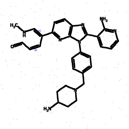 CN/C=C(\C=C/C=O)c1ccc2nc(-c3cccnc3N)n(-c3ccc(CN4CCC(N)CC4)cc3)c2n1